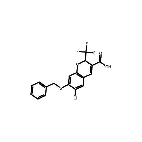 O=C(O)C1=Cc2cc(Cl)c(SCc3ccccc3)cc2OC1C(F)(F)F